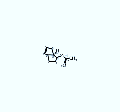 CC(=O)NC1CCC2C=CC[C@@H]21